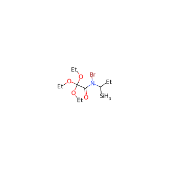 CCOC(OCC)(OCC)C(=O)N(Br)C([SiH3])CC